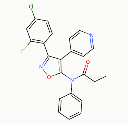 CCC(=O)N(c1ccccc1)c1onc(-c2ccc(Cl)cc2F)c1-c1ccncc1